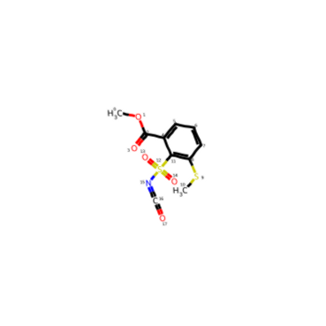 COC(=O)c1cccc(SC)c1S(=O)(=O)N=C=O